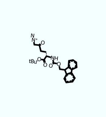 CC(C)(C)OC(=O)[C@H](CCC(=O)C[N+]#N)NC(=O)OCC1c2ccccc2-c2ccccc21